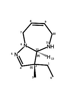 CC[C@]1(C)C=NN2CC=CCN[C@H]21